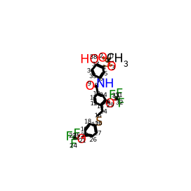 CS(=O)(=O)c1cc(NC(=O)c2ccc(CCSc3ccc(OC(F)(F)F)cc3)c(OC(F)(F)F)c2)ccc1O